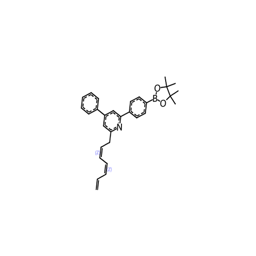 C=C/C=C\C=C/Cc1cc(-c2ccccc2)cc(-c2ccc(B3OC(C)(C)C(C)(C)O3)cc2)n1